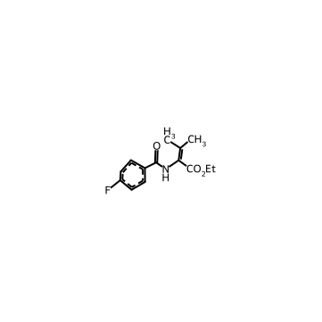 CCOC(=O)C(NC(=O)c1ccc(F)cc1)=C(C)C